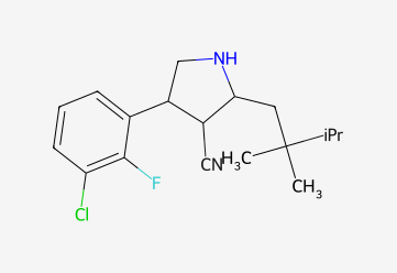 CC(C)C(C)(C)CC1NCC(c2cccc(Cl)c2F)C1C#N